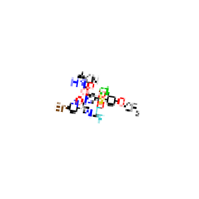 N#CC1(NC(=O)O[C@H]2C[C@@H](S(=O)(=O)c3ccc(OCC(F)(F)F)cc3Cl)CN2C(=O)C2(c3ccc(Br)cn3)CN(CC(F)F)C2)CC1